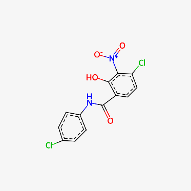 O=C(Nc1ccc(Cl)cc1)c1ccc(Cl)c([N+](=O)[O-])c1O